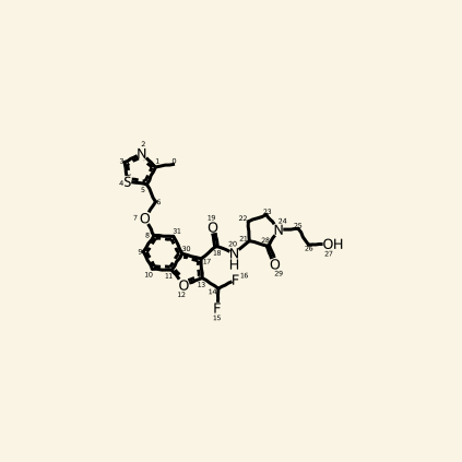 Cc1ncsc1COc1ccc2oc(C(F)F)c(C(=O)NC3CCN(CCO)C3=O)c2c1